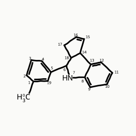 Cc1cccc(C2Nc3ccccc3C3C=CCC32)c1